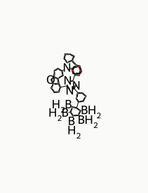 Bc1c(B)c(B)c(-c2cccc(-c3nc(-c4ccccc4)nc(-c4cccc5oc6ccc(-n7c8ccccc8c8ccccc87)cc6c45)n3)c2)c(B)c1B